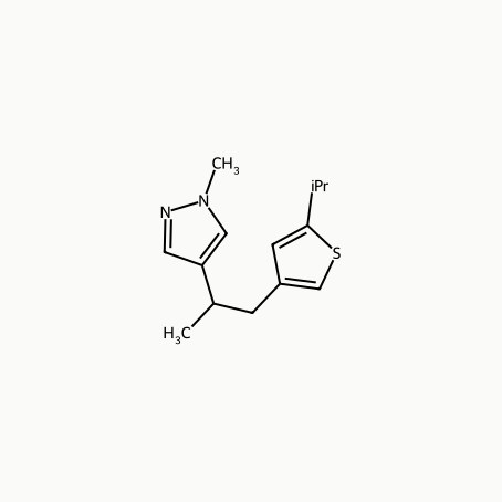 CC(C)c1cc(CC(C)c2cnn(C)c2)cs1